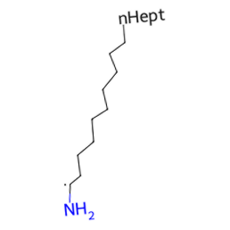 CCCCCCCCCCCCCCCC[CH]N